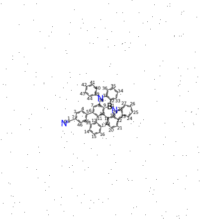 N#Cc1ccc(-c2cc3c4c(c2-c2ccccc2)-c2cccc5c6ccccc6n(c25)B4c2ccccc2N3c2ccccc2)cc1